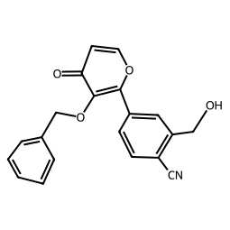 N#Cc1ccc(-c2occc(=O)c2OCc2ccccc2)cc1CO